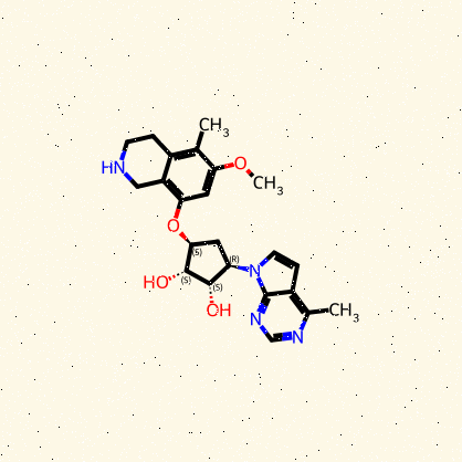 COc1cc(O[C@H]2C[C@@H](n3ccc4c(C)ncnc43)[C@H](O)[C@@H]2O)c2c(c1C)CCNC2